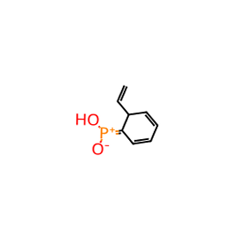 C=CC1C=CC=C/C1=[P+](\[O-])O